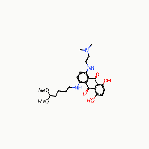 COC(CCCCNc1ccc(NCCN(C)C)c2c1C(=O)c1c(O)ccc(O)c1C2=O)OC